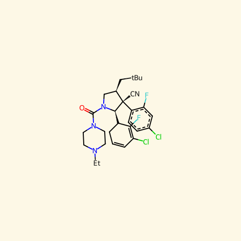 CCN1CCN(C(=O)N2C[C@@H](CC(C)(C)C)[C@](C#N)(c3ccc(Cl)cc3F)[C@H]2C2CC=CC(Cl)=C2F)CC1